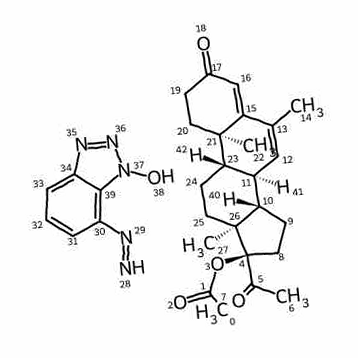 CC(=O)O[C@]1(C(C)=O)CC[C@H]2[C@@H]3C=C(C)C4=CC(=O)CC[C@]4(C)[C@H]3CC[C@@]21C.N=Nc1cccc2nnn(O)c12